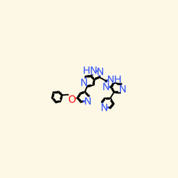 c1ccc(COc2cncc(-c3cc4c(-c5nc6c(-c7ccncc7)cncc6[nH]5)n[nH]c4cn3)c2)cc1